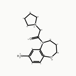 Nc1ccc2c(c1)N(C(=O)CN1CCCC1)CCCO2